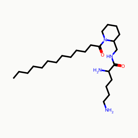 CCCCCCCCCCCCC(=O)N1CCCCC1CNC(=O)C(N)CCCCN